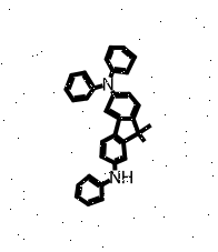 CC1(C)c2ccc(N(c3ccccc3)c3ccccc3)cc2-c2ccc(Nc3ccccc3)cc21